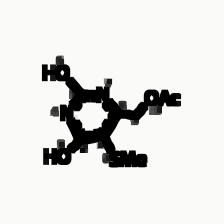 CSc1c(O)nc(O)nc1COC(C)=O